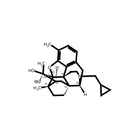 Cc1ccc2c3c1O[C@H]1[C@@]4(C)CC[C@@]5(C[C@@H]4[C@](C)(O)C(C)(C)C)[C@@H](C2)N(CC2CC2)CC[C@]315